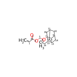 C=CC(=O)OCOC12CC3CC(CC(C3)C1CC)C2